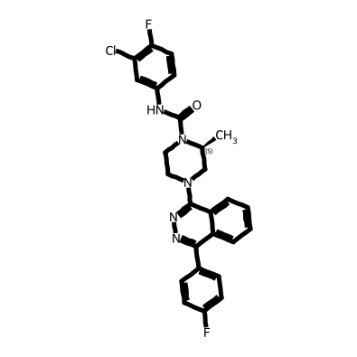 C[C@H]1CN(c2nnc(-c3ccc(F)cc3)c3ccccc23)CCN1C(=O)Nc1ccc(F)c(Cl)c1